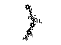 N/C(=C\NC(=O)NCCCOc1ccccc1)c1ccc(OCc2ccc(NSC(F)F)cc2)cc1